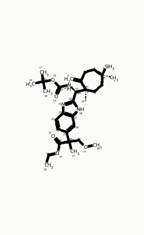 C=C1CC[C@@](C)([SiH3])CC[C@@]1(I)[C@H](NC(=O)OC(C)(C)C)c1nc2ccc(C(C)(COC)C(=O)OCC)cc2[nH]1